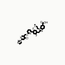 COCCn1c(Cc2cc(F)c(-c3cccc(OCc4cnc(-n5ccnn5)cc4Cl)n3)cc2F)nc2ccc(C(=O)O)cc21